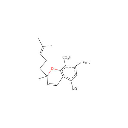 CCCCCc1cc(N=O)c2c(c1C(=O)O)OC(C)(CCC=C(C)C)C=C2